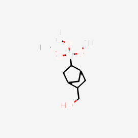 CO[Si](OC)(OC)C1CC2CC1CC2CO